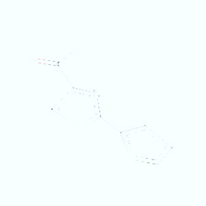 CC(=O)c1csc(-c2cccs2)n1